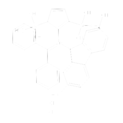 Cc1ccc2c(c1)[CH]([Zr+2]([C]1=C([Si](C)(C)C)C=CC1[Si](C)(C)C)=[C](c1ccccc1)c1ccccc1)c1cc(C)ccc1-2.[Cl-].[Cl-]